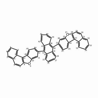 c1ccc2c(c1)ccc1oc3cc(-c4c5ccccc5c(-c5ccc6c(c5)oc5ccc7ccccc7c56)c5ccccc45)ccc3c12